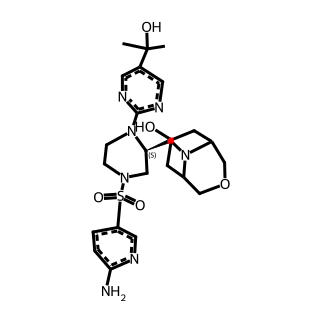 CC(C)(O)c1cnc(N2CCN(S(=O)(=O)c3ccc(N)nc3)C[C@@H]2CN2C3COCC2CC(O)C3)nc1